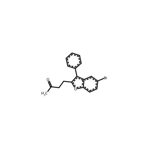 CC(=O)CCc1oc2ccc(Br)cc2c1-c1ccccc1